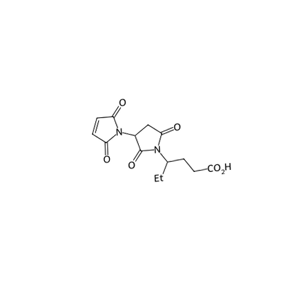 CCC(CCC(=O)O)N1C(=O)CC(N2C(=O)C=CC2=O)C1=O